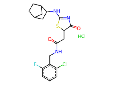 Cl.O=C(CC1SC(NC2CC3CCC2C3)=NC1=O)NCc1c(F)cccc1Cl